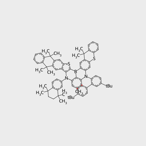 Cc1cc2c3c(c1)N(c1ccc4c(c1)C(C)(C)CCC4(C)C)c1c(sc4cc5c(cc14)C(C)(C)c1ccccc1C5(C)C)B3c1cc3c(cc1N2c1ccc(C(C)(C)C)cc1-c1ccc(C(C)(C)C)cc1)Sc1ccccc1C3(C)C